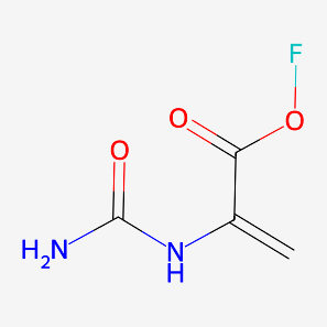 C=C(NC(N)=O)C(=O)OF